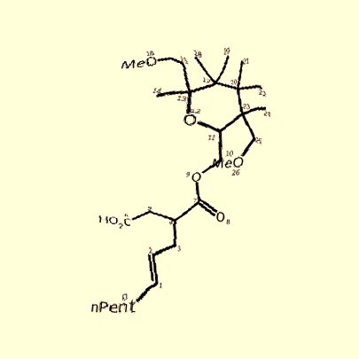 CCCCCC=CCC(CC(=O)O)C(=O)OCC1OC(C)(COC)C(C)(C)C(C)(C)C1(C)COC